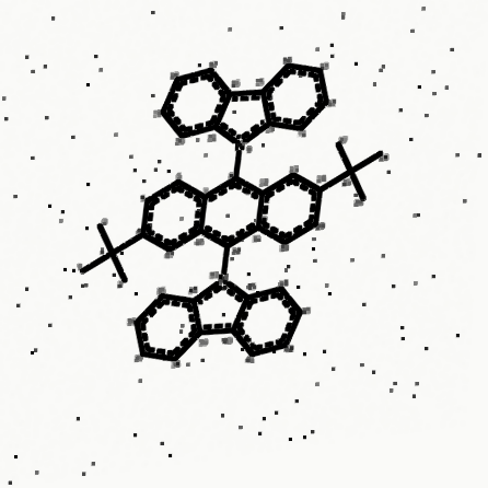 CC(C)(C)c1ccc2c(-n3c4ccccc4c4ccccc43)c3cc(C(C)(C)C)ccc3c(-n3c4ccccc4c4ccccc43)c2c1